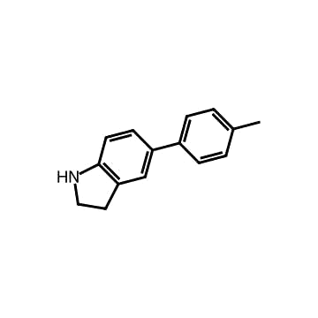 Cc1ccc(-c2ccc3c(c2)CCN3)cc1